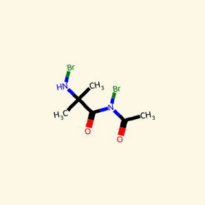 CC(=O)N(Br)C(=O)C(C)(C)NBr